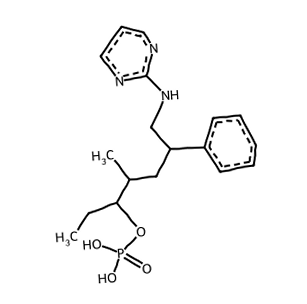 CCC(OP(=O)(O)O)C(C)CC(CNc1ncccn1)c1ccccc1